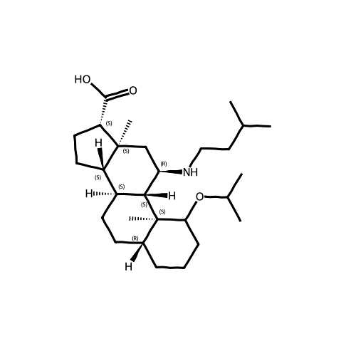 CC(C)CCN[C@@H]1C[C@]2(C)[C@@H](C(=O)O)CC[C@H]2[C@@H]2CC[C@H]3CCCC(OC(C)C)[C@]3(C)[C@H]21